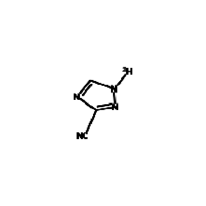 [2H]n1cnc(C#N)n1